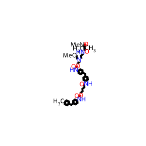 CNC(=O)C(C)(C)C(=O)NCCCN(CCOC)CCOC(=O)Nc1ccc(Cc2ccc(NC(=O)CCCCOC(=O)Nc3ccc(Cc4ccc(C)cc4)cc3)cc2)cc1